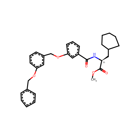 COC(=O)[C@H](CC1CCCCC1)NC(=O)c1cccc(OCc2cccc(OCc3ccccc3)c2)c1